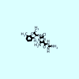 Cc1cccc(C)c1OC(C)CNc1nc(N)c(C(=O)NC(=N)N)nc1Cl